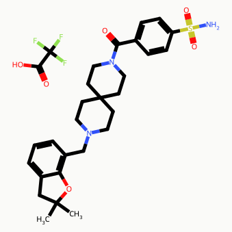 CC1(C)Cc2cccc(CN3CCC4(CC3)CCN(C(=O)c3ccc(S(N)(=O)=O)cc3)CC4)c2O1.O=C(O)C(F)(F)F